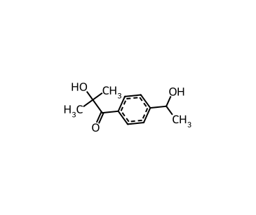 CC(O)c1ccc(C(=O)C(C)(C)O)cc1